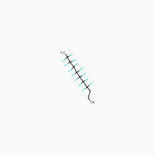 N#CCCC(F)(F)C(F)(F)C(F)(F)C(F)(F)C(F)(F)C(F)(F)C(F)(F)C(F)(F)F